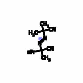 CCCC(C)(C#N)/N=N/C(C)(C)C#N